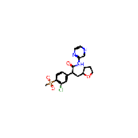 CS(=O)(=O)c1ccc(C(CC2CCCO2)C(=O)Nc2cnccn2)cc1Cl